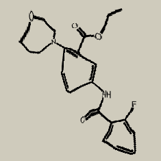 CCOC(=O)c1cc(NC(=O)c2ccccc2F)ccc1N1CCOCC1